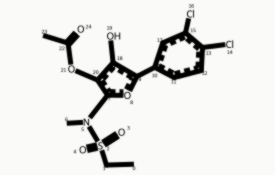 CCS(=O)(=O)N(C)c1oc(-c2ccc(Cl)c(Cl)c2)c(O)c1OC(C)=O